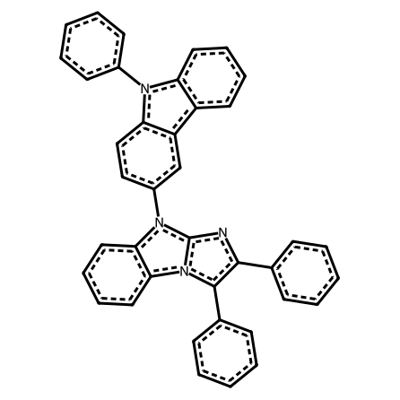 c1ccc(-c2nc3n(-c4ccc5c(c4)c4ccccc4n5-c4ccccc4)c4ccccc4n3c2-c2ccccc2)cc1